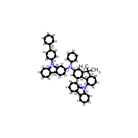 CC1(C)c2cc(N(c3ccccc3)c3ccc4c5ccccc5n(-c5ccc(-c6ccccc6)cc5)c4c3)ccc2-c2c(-n3c4ccccc4c4ccccc43)cccc21